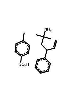 C=CC(CC(C)(C)N)c1ccccc1.Cc1ccc(S(=O)(=O)O)cc1